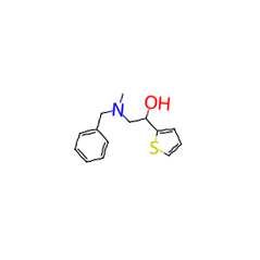 CN(Cc1ccccc1)CC(O)c1cccs1